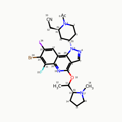 CC(=O)N1CC[C@H](n2ncc3c(OC(C)[C@@H]4CCCN4C)nc4c(F)c(Br)c(I)cc4c32)C[C@H]1CC#N